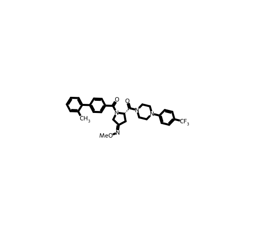 CON=C1C[C@@H](C(=O)N2CCN(c3ccc(C(F)(F)F)cc3)CC2)N(C(=O)c2ccc(-c3ccccc3C)cc2)C1